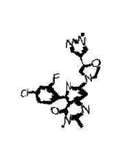 Cc1nc2cc(N3CCO[C@H](c4cnn(C)c4)C3)nc(-c3ccc(Cl)cc3F)c2c(=O)n1C